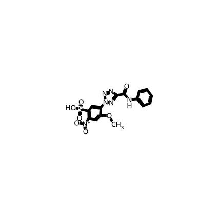 COc1cc([N+](=O)[O-])c(S(=O)(=O)O)cc1-n1nnc(C(=O)Nc2ccccc2)n1